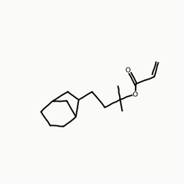 C=CC(=O)OC(C)(C)CCC1CC2CCCC1C2